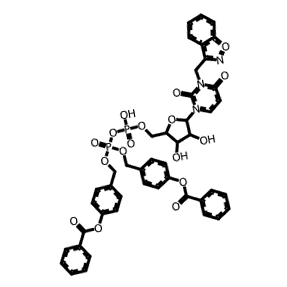 O=C(Oc1ccc(COP(=O)(OCc2ccc(OC(=O)c3ccccc3)cc2)OP(=O)(O)OCC2OC(n3ccc(=O)n(Cc4noc5ccccc45)c3=O)C(O)C2O)cc1)c1ccccc1